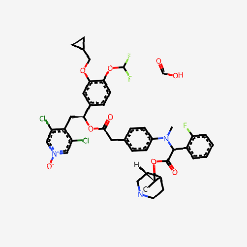 CN(c1ccc(CC(=O)O[C@@H](Cc2c(Cl)c[n+]([O-])cc2Cl)c2ccc(OC(F)F)c(OCC3CC3)c2)cc1)C(C(=O)O[C@H]1CN2CCC1CC2)c1ccccc1F.O=CO